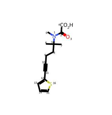 CN(C(=O)C(=O)O)C(C)(C)CCC#Cc1cccs1